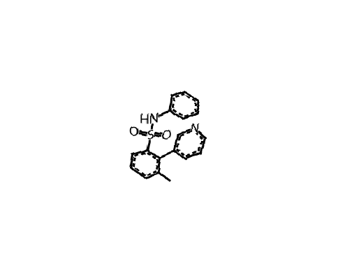 Cc1cccc(S(=O)(=O)Nc2ccccc2)c1-c1cccnc1